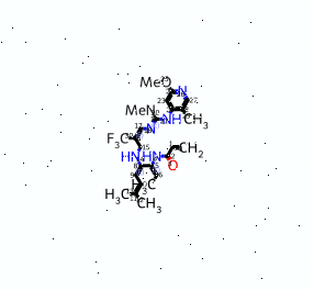 C=CC(=O)NC(=C/C)/C(=C\C=C(C)C)NC/C(=C\N=C(/NC)Nc1cc(OC)ncc1C)C(F)(F)F